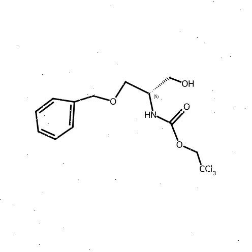 O=C(N[C@@H](CO)COCc1ccccc1)OCC(Cl)(Cl)Cl